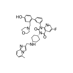 Cc1cccc2nc(CN[C@H]3CC[C@@H](n4c(=O)c5cc(F)cnc5n(-c5cccc(-c6ccc(O)cc6CN6CCOCC6)c5)c4=O)CC3)cn12